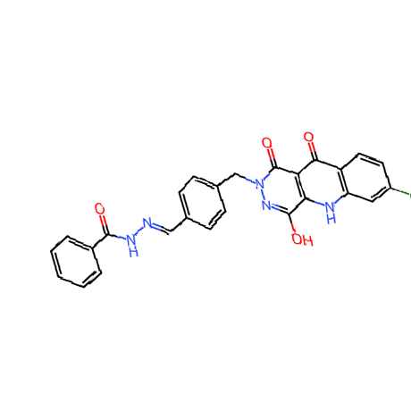 O=C(NN=Cc1ccc(Cn2nc(O)c3[nH]c4cc(Cl)ccc4c(=O)c3c2=O)cc1)c1ccccc1